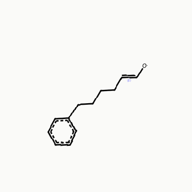 [O]/C=C/CCCCc1ccccc1